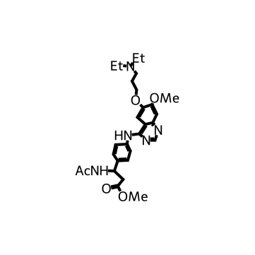 CCN(CC)CCCOc1cc2c(Nc3ccc(C(CC(=O)OC)NC(C)=O)cc3)ncnc2cc1OC